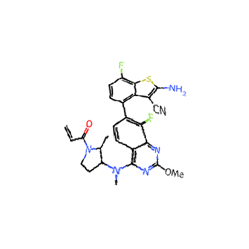 C=CC(=O)N1CCC(N(C)c2nc(OC)nc3c(F)c(-c4ccc(F)c5sc(N)c(C#N)c45)ccc23)C1C